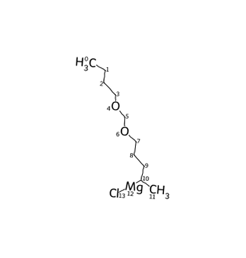 CCCCOCOCCC[CH](C)[Mg][Cl]